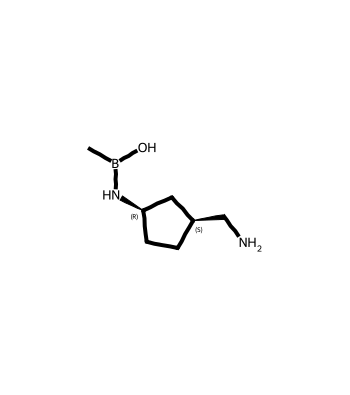 CB(O)N[C@@H]1CC[C@H](CN)C1